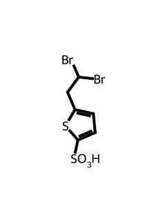 O=S(=O)(O)c1ccc(CC(Br)Br)s1